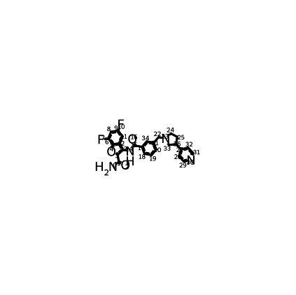 NC(=O)c1oc2c(F)cc(F)cc2c1NC(=O)c1cccc(CN2CCC(c3ccncc3)C2)c1